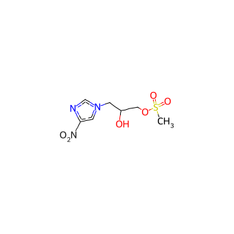 CS(=O)(=O)OCC(O)Cn1cnc([N+](=O)[O-])c1